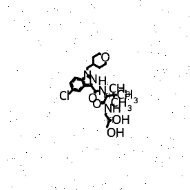 CC(C)(C)[C@H](NC(=O)c1nn(CC2CCOCC2)c2ccc(Cl)cc12)C(=O)NC[C@H](O)CO